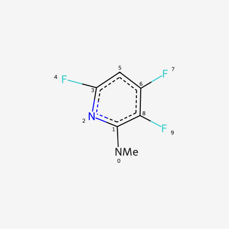 CNc1nc(F)cc(F)c1F